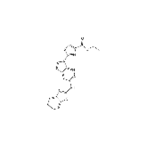 CCOC(=O)c1csc(-n2ccc3cc(Nc4nc5ccccc5s4)nnc32)n1